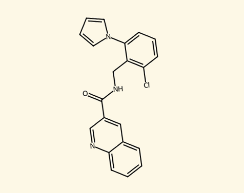 O=C(NCc1c(Cl)cccc1-n1cccc1)c1cnc2ccccc2c1